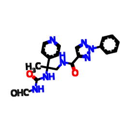 CC(CNC(=O)c1cnn(-c2ccccc2)n1)(NC(=O)NC=O)c1ccncc1